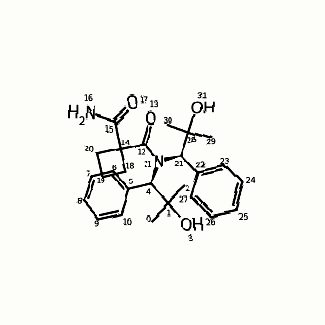 CC(C)(O)[C@@H](c1ccccc1)N(C(=O)C1(C(N)=O)CCC1)[C@H](c1ccccc1)C(C)(C)O